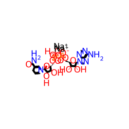 NC(=O)C1=CN([C@@H]2O[C@H](COP(=O)([O-])OP(=O)([O-])OC[C@H]3O[C@@H](n4cnc5c(N)ncnc54)[C@H](O)[C@@H]3O)[C@@H](O)[C@H]2O)C=CC1.O.[Na+].[Na+]